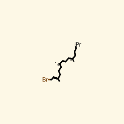 CC(=CCBr)CCC[C@H](C)CCC[C@H](C)CCCC(C)C